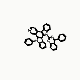 c1ccc(-c2nc(-n3c4ccccc4c4c5ccncc5c5c(c6ccccc6n5-c5ccccc5)c43)nc3ccccc23)cc1